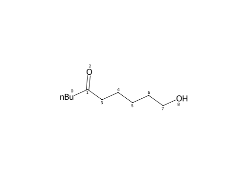 CCCCC(=O)CCCCCO